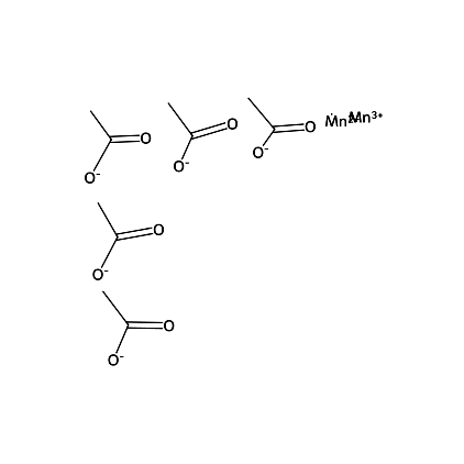 CC(=O)[O-].CC(=O)[O-].CC(=O)[O-].CC(=O)[O-].CC(=O)[O-].[Mn+2].[Mn+3]